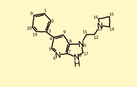 c1ccc(-c2cnc3c(c2)N(CCN2CCC2)CN3)cc1